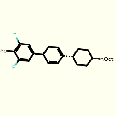 CCCCCCCCCCc1c(F)cc(C2C=CC([C@H]3CC[C@H](CCCCCCCC)CC3)=CC2)cc1F